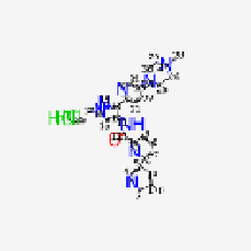 Cc1cncc(-c2cccc(C(=O)Nc3cn(C)nc3-c3ccc(N4CCN(C)CC4)cn3)n2)c1.Cl.Cl